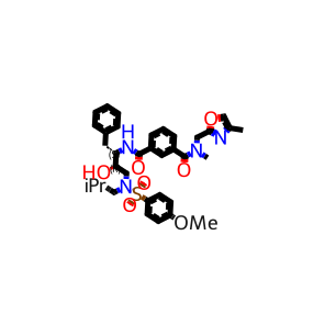 COc1ccc(S(=O)(=O)N(CC(C)C)C[C@@H](O)[C@H](Cc2ccccc2)NC(=O)c2cccc(C(=O)N(C)Cc3nc(C)co3)c2)cc1